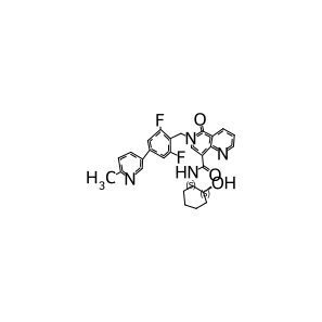 Cc1ccc(-c2cc(F)c(Cn3cc(C(=O)N[C@H]4CCCC[C@@H]4O)c4ncccc4c3=O)c(F)c2)cn1